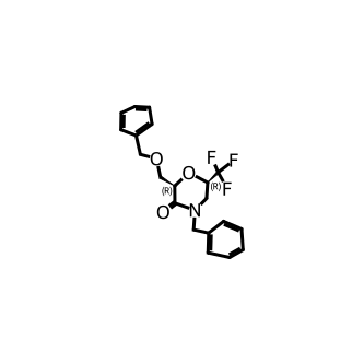 O=C1[C@@H](COCc2ccccc2)O[C@@H](C(F)(F)F)CN1Cc1ccccc1